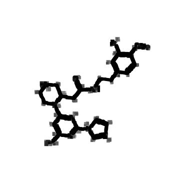 COc1ccc(CCNC(=O)CC2CNCCN2c2cc(C(C)C)nc(-n3ccnc3)n2)cc1Br